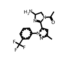 CC(=O)N1CC(N)N=C1c1cc(C)nn1-c1cccc(C(F)(F)F)c1